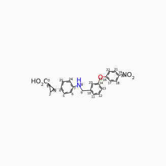 O=C(O)[C@@H]1C[C@H]1c1ccc(NCc2cccc(Oc3ccc([N+](=O)[O-])cc3)c2)cc1